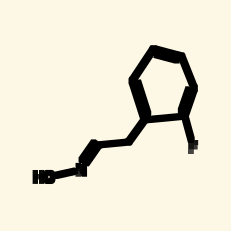 ON=CCc1ccccc1F